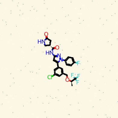 C[C@@H](OCc1cc(Cl)cc(-c2cc(NC(=O)[C@@H]3CNC(=O)C3)nn2-c2ccc(F)cc2)c1)C(F)(F)F